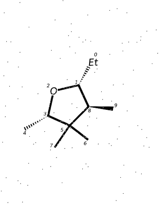 CC[C@H]1O[C@@H](C)C(C)(C)[C@@H]1C